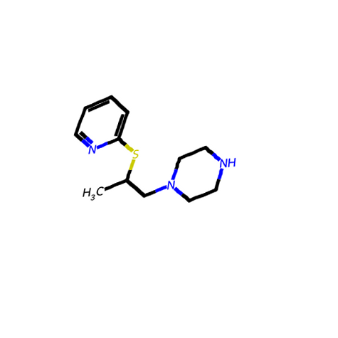 CC(CN1CCNCC1)Sc1ccccn1